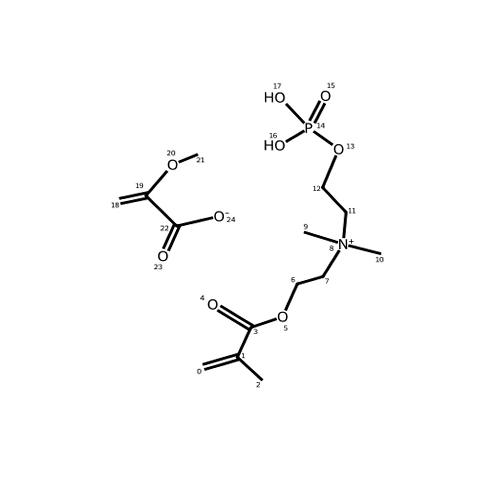 C=C(C)C(=O)OCC[N+](C)(C)CCOP(=O)(O)O.C=C(OC)C(=O)[O-]